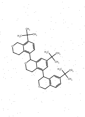 CC(C)(C)c1ccc2c(c1)C(c1cc(C(C)(C)C)cc3c1CCOC3c1ccc(C(C)(C)C)c3c1CCOC3)COC2